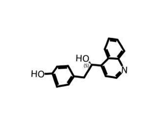 Oc1ccc(C[C@H](O)c2ccnc3ccccc23)cc1